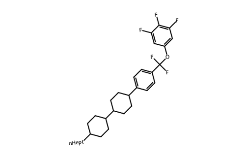 CCCCCCCC1CCC(C2CCC(c3ccc(C(F)(F)Oc4cc(F)c(F)c(F)c4)cc3)CC2)CC1